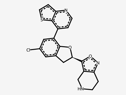 Clc1cc2c(c(-c3ccnc4ccsc34)c1)O[C@@H](c1onc3c1CNCC3)C2